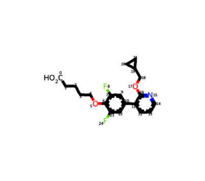 O=C(O)CCCCOc1c(F)cc(-c2cccnc2OCC2CC2)cc1F